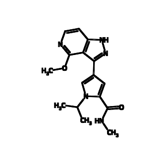 CNC(=O)c1cc(-c2n[nH]c3ccnc(OC)c23)cn1C(C)C